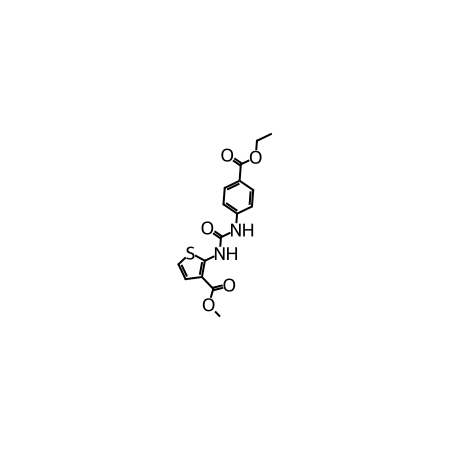 CCOC(=O)c1ccc(NC(=O)Nc2sccc2C(=O)OC)cc1